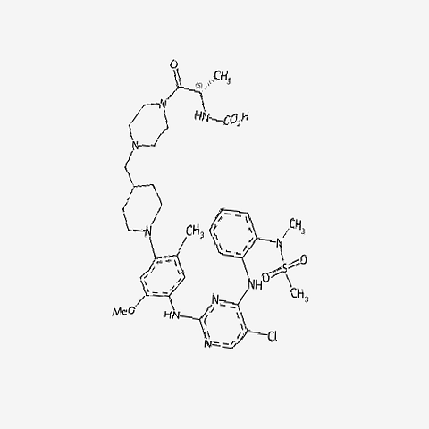 COc1cc(N2CCC(CN3CCN(C(=O)[C@H](C)NC(=O)O)CC3)CC2)c(C)cc1Nc1ncc(Cl)c(Nc2ccccc2N(C)S(C)(=O)=O)n1